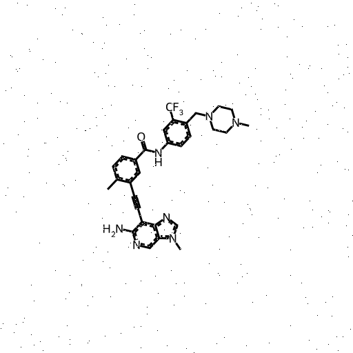 Cc1ccc(C(=O)Nc2ccc(CN3CCN(C)CC3)c(C(F)(F)F)c2)cc1C#Cc1c(N)ncc2c1ncn2C